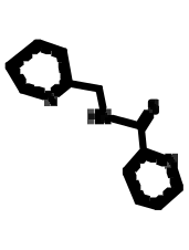 S=C(NCc1ccccn1)c1ccccn1